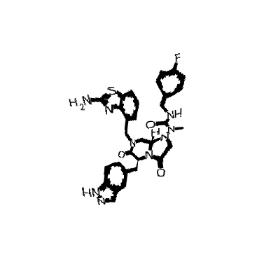 CN(C(=O)NCc1ccc(F)cc1)N1CC(=O)N2[C@@H](Cc3ccc4[nH]ncc4c3)C(=O)N(Cc3cccc4sc(N)nc34)C[C@@H]21